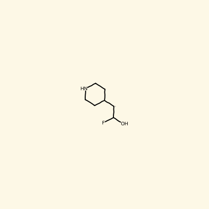 OC(F)[CH]C1CCNCC1